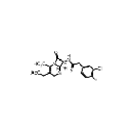 CC(=O)OCC1=C(C(=O)O)N2C(=O)[C@@H](NC(=S)Cc3ccc(F)c(Cl)c3)[C@H]2SC1